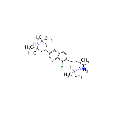 CC1(C)CC(c2ccc3c(F)c(C4CC(C)(C)NC(C)(C)C4)ccc3c2)CC(C)(C)N1